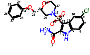 NC(=O)c1[nH]c2ccc(Cl)cc2c1S(=O)(=O)N1CCO[C@@H](COc2ccccc2)C1